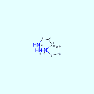 C1=C2CCNNN2CC1